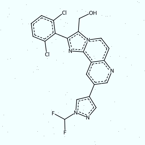 OCc1c(-c2c(Cl)cccc2Cl)nc2c3cc(-c4cnn(C(F)F)c4)cnc3ccn12